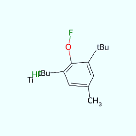 Cc1cc(C(C)(C)C)c(OF)c(C(C)(C)C)c1.F.[Ti]